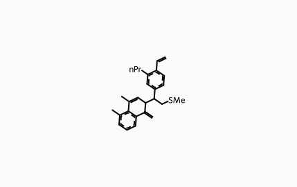 C=Cc1ccc(C(CSC)C2C=C(C)c3c(C)cccc3C2=C)cc1CCC